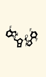 O=C([C@H]1CC(Cn2ncc3c(F)cccc32)C2CCC21)N1N=CCC1c1cc(F)ccc1F